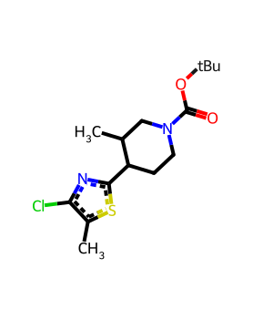 Cc1sc(C2CCN(C(=O)OC(C)(C)C)CC2C)nc1Cl